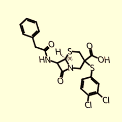 O=C(Cc1ccccc1)NC1C(=O)N2CC(Sc3ccc(Cl)c(Cl)c3)(C(=O)O)CS[C@H]12